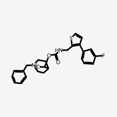 O=C(NCc1sccc1-c1cccc(F)c1)OC1C[N+]2(Cc3ccccc3)CCC1CC2